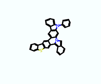 c1ccc(-n2c3ccccc3c3cc4c5cc6c(cc5c5c7ccccc7cn5c4cc32)sc2ccccc26)cc1